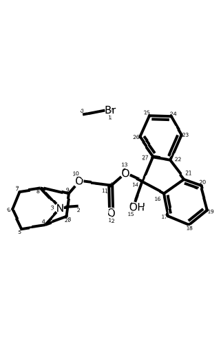 CBr.CN1C2CCCC1C(OC(=O)OC1(O)c3ccccc3-c3ccccc31)C2